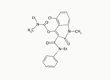 CCN(C)C(=O)Oc1c(C(=O)N(CC)c2ccccc2)c(=O)n(C)c2cccc(Cl)c12